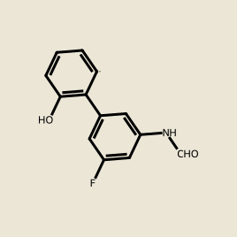 O=CNc1cc(F)cc(-c2[c]cccc2O)c1